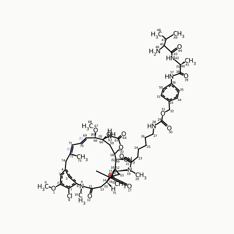 COc1cc2cc(c1Cl)N(C)C(=O)C[C@@H]1OC(=O)[C@@H](N(C)C(=O)CCCCCNC(=O)OCc3ccc(NC(=O)[C@H](C)NC(=O)C(N)C(C)C)cc3)[C@]3(C[C@@]13C)[C@H](C)C1C[C@@](O)(NC(=O)O1)[C@H](OC)/C=C/C=C(\C)C2